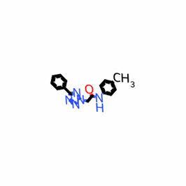 Cc1ccc(NC(=O)Cn2nnc(-c3ccccc3)n2)cc1